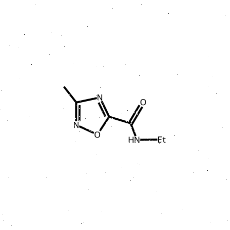 CCNC(=O)c1nc(C)no1